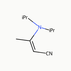 CC(=CC#N)N(C(C)C)C(C)C